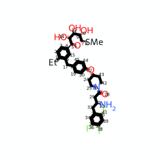 CCc1ccc([C@@H]2O[C@H](SC)[C@@H](O)[C@H](O)[C@H]2O)cc1Cc1ccc(OC2CCN(C(=O)C[C@@H](N)Cc3cc(F)c(F)cc3F)CC2)cc1